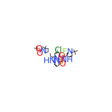 CC(C)(C)OC(=O)N1C[C@@H](CCC(Nc2cccc(S(=O)(=O)NC(=O)c3ccc(C(C)(C)C)nc3F)n2)c2cc(Cl)ccn2)CC1(C)C